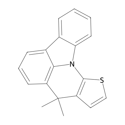 CC1(C)c2ccsc2-n2c3ccccc3c3cccc1c32